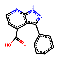 O=C(O)c1ccnc2[nH]nc(-c3ccccc3)c12